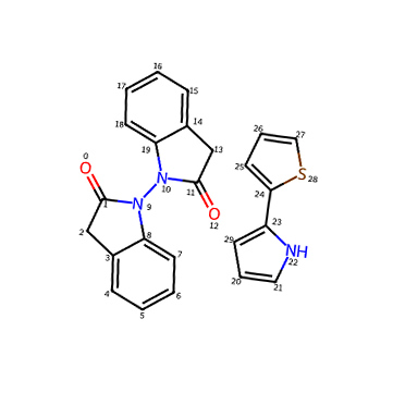 O=C1Cc2ccccc2N1N1C(=O)Cc2ccccc21.c1c[nH]c(-c2cccs2)c1